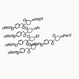 CCCCCCCCCOc1ccc(CC(=O)C2CCC(C)CC2=O)cc1.CCCCCCCCCOc1ccc(CC(=O)C2CCC(CC)CC2=O)cc1.CCCCCCCCCOc1ccc(CC(=O)C2CCC(CCC)CC2=O)cc1.CCCCCCCCCOc1ccc(CC(=O)C2CCC(CCCCC)CC2=O)cc1.CCCCCCCCCOc1ccc(CC(=O)C2CCC(CCCCCCC)CC2=O)cc1